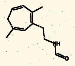 CC1=CC(CCNC=O)=C(C)C=CC1